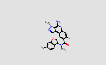 CN(C(=O)c1cc2c(cc1F)nc(N)c1c2cnn1C)[C@@H]1COc2cc(C#N)ccc21